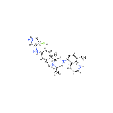 C[C@@H]1CN(c2ccc(C#N)c3ncccc23)C[C@@H]2c3ccc(N[C@H]4CNC[C@H]4F)cc3CN12